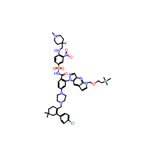 CN1CCC(F)(CNc2ccc(S(=O)(=O)NC(=O)c3ccc(N4CCN(CC5=C(c6ccc(Cl)cc6)CC(C)(C)CC5)CC4)cc3-n3ncc4nc5c(ccn5COCC[Si](C)(C)C)cc43)cc2[N+](=O)[O-])CC1